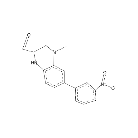 CN1CC(C=O)Nc2ccc(-c3cccc([N+](=O)[O-])c3)cc21